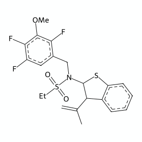 C=C(C)C1c2ccccc2SC1N(Cc1cc(F)c(F)c(OC)c1F)S(=O)(=O)CC